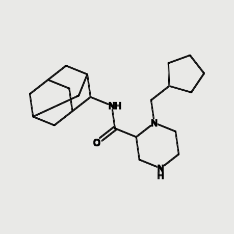 O=C(NC1C2CC3CC(C2)CC1C3)C1CNCCN1CC1CCCC1